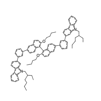 CCCCOc1ccc2cc(-c3cccc(-c4ccc5c6ccccc6n(CC(CC)CCCC)c5c4)c3)ccc2c1-c1c(OCCCC)ccc2cc(-c3cccc(-c4ccc5c6ccccc6n(CC(CC)CCCC)c5c4)c3)ccc12